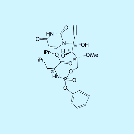 C#C[C@@](O)([C@H](O)[C@@H](COP(=O)(N[C@@H](CC(C)C)C(=O)OC(C)C)Oc1ccccc1)OC)n1ccc(=O)[nH]c1=O